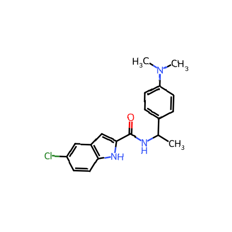 CC(NC(=O)c1cc2cc(Cl)ccc2[nH]1)c1ccc(N(C)C)cc1